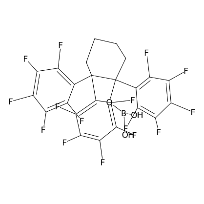 OB(O)OC1(c2c(F)c(F)c(F)c(F)c2F)CCCCC1(c1c(F)c(F)c(F)c(F)c1F)c1c(F)c(F)c(F)c(F)c1F